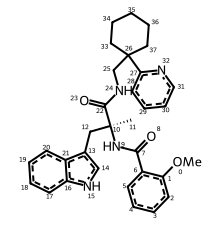 COc1ccccc1C(=O)N[C@@](C)(Cc1c[nH]c2ccccc12)C(=O)NCC1(c2ccccn2)CCCCC1